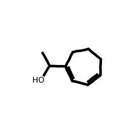 CC(O)C1=CC=CCCC1